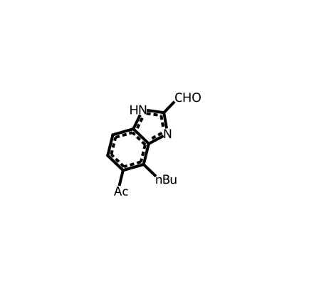 CCCCc1c(C(C)=O)ccc2[nH]c(C=O)nc12